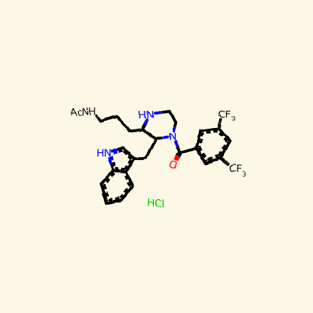 CC(=O)NCCCC1NCCN(C(=O)c2cc(C(F)(F)F)cc(C(F)(F)F)c2)C1Cc1c[nH]c2ccccc12.Cl